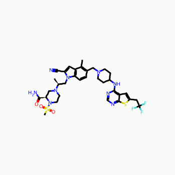 Cc1c(CN2CCC(Nc3ncnc4sc(CC(F)(F)F)cc34)CC2)ccc2c1cc(C#N)n2C[C@H](C)N1CCN(S(C)(=O)=O)[C@@H](C(N)=O)C1